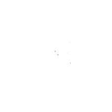 CC(C)(C)OC(=O)N1CC2CC(=C(F)F)CC2C1